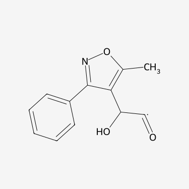 Cc1onc(-c2ccccc2)c1C(O)[C]=O